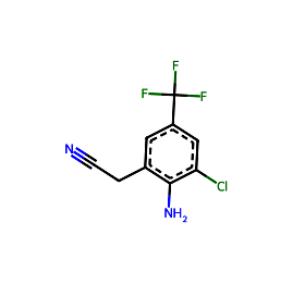 N#CCc1cc(C(F)(F)F)cc(Cl)c1N